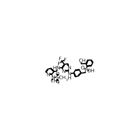 CCc1ccccc1P(=O)(O)Cc1ccc(Nc2ncc(C(F)(F)F)c(NCc3cccnc3N(C)S(C)(=O)=O)n2)cc1